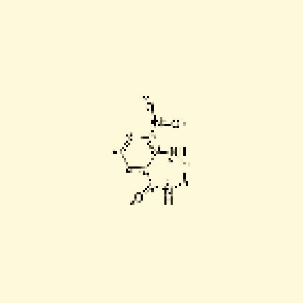 O=C1NCCNC2=C([N+](=O)[O-])C=CCC12